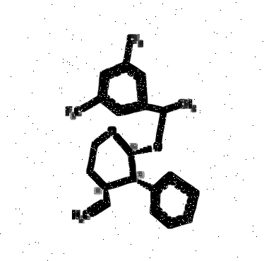 C=C[C@H]1CCO[C@H](OC(C)c2cc(C(F)(F)F)cc(C(F)(F)F)c2)[C@@H]1c1ccccc1